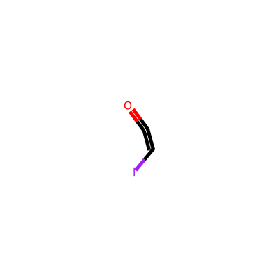 O=C=CI